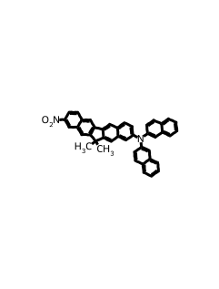 CC1(C)c2cc3cc(N(c4ccc5ccccc5c4)c4ccc5ccccc5c4)ccc3cc2-c2cc3ccc([N+](=O)[O-])cc3cc21